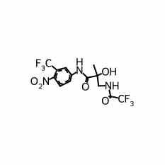 CC(O)(CNC(=O)C(F)(F)F)C(=O)Nc1ccc([N+](=O)[O-])c(C(F)(F)F)c1